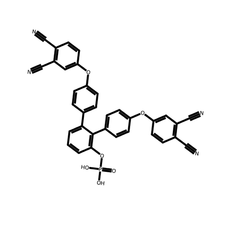 N#Cc1ccc(Oc2ccc(-c3cccc(OP(=O)(O)O)c3-c3ccc(Oc4ccc(C#N)c(C#N)c4)cc3)cc2)cc1C#N